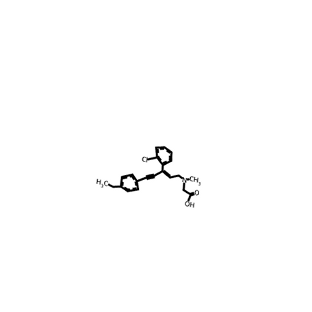 CCc1ccc(C#CC(=CCN(C)CC(=O)O)c2ccccc2Cl)cc1